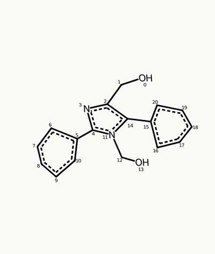 OCc1nc(-c2ccccc2)n(CO)c1-c1ccccc1